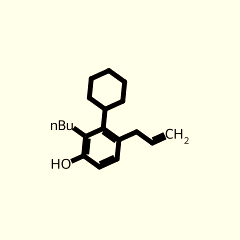 C=CCc1ccc(O)c(CCCC)c1C1CCCCC1